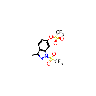 Cc1nn(S(=O)(=O)C(F)(F)F)c2cc(OS(=O)(=O)C(F)(F)F)ccc12